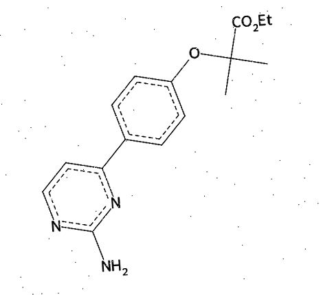 CCOC(=O)C(C)(C)Oc1ccc(-c2ccnc(N)n2)cc1